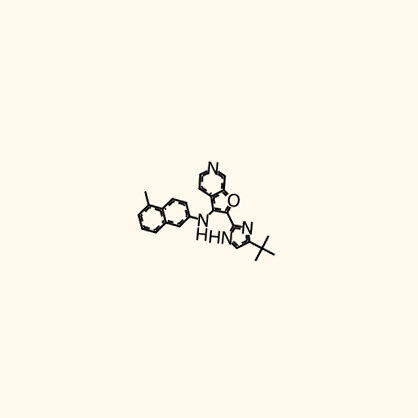 Cc1cccc2cc(Nc3c(-c4nc(C(C)(C)C)c[nH]4)oc4cnccc34)ccc12